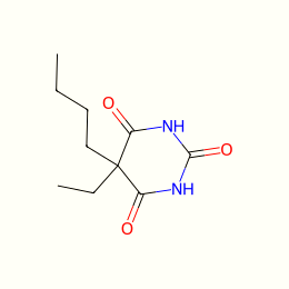 CCCCC1(CC)C(=O)NC(=O)NC1=O